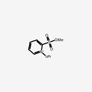 CCC[n+]1ccccc1S(=O)(=O)OC